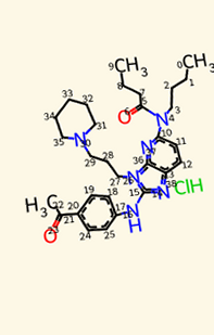 CCCCN(C(=O)CCC)c1ccc2nc(Nc3ccc(C(C)=O)cc3)n(CCCN3CCCCC3)c2n1.Cl